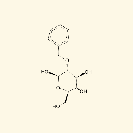 OC[C@H]1O[C@@H](O)[C@H](OCc2ccccc2)[C@@H](O)[C@H]1O